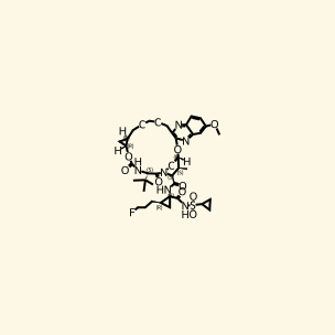 COc1ccc2nc3c(nc2c1)O[C@H]1CN(C(=O)[C@H](C(C)(C)C)NC(=O)O[C@@H]2C[C@H]2CCCCC3)[C@H](C(=O)N[C@]2(C(=O)NS(=O)(=O)C3CC3)C[C@H]2CCCF)[C@@H]1C